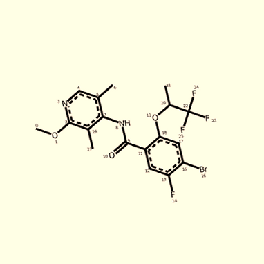 COc1ncc(C)c(NC(=O)c2cc(F)c(Br)cc2OC(C)C(F)(F)F)c1C